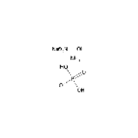 N.O=P([O-])(O)O.O=[N+]([O-])O.[Na+]